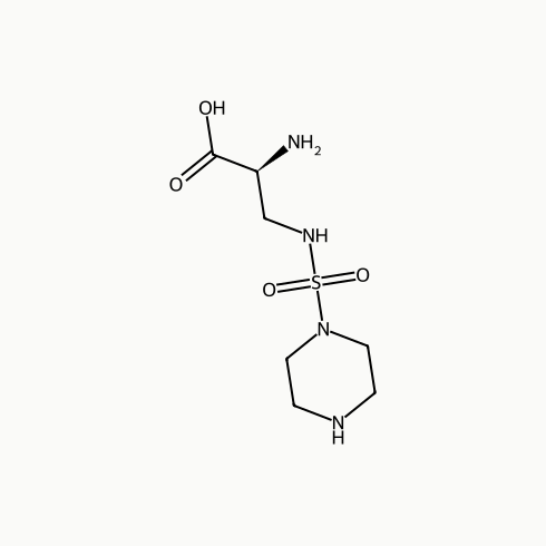 N[C@@H](CNS(=O)(=O)N1CCNCC1)C(=O)O